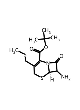 CSCC1=C(C(=O)OC(C)(C)C)N2C(=O)C(N)[C@H]2SC1